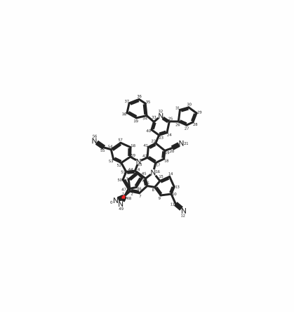 N#Cc1ccc2c(c1)c1cc(C#N)ccc1n2-c1cc(C#N)c(-c2cc(-c3ccccc3)nc(-c3ccccc3)c2)cc1-n1c2ccc(C#N)cc2c2cc(C#N)ccc21